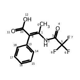 CC(NC(=O)C(F)(F)F)=C(C(=O)O)c1ccccc1